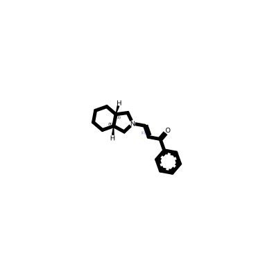 O=C(/C=C/N1C[C@H]2CCCC[C@H]2C1)c1ccccc1